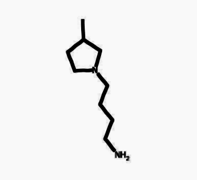 CC1CCN(CCCCN)C1